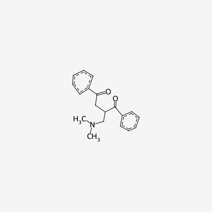 CN(C)CC(CC(=O)c1ccccc1)C(=O)c1ccccc1